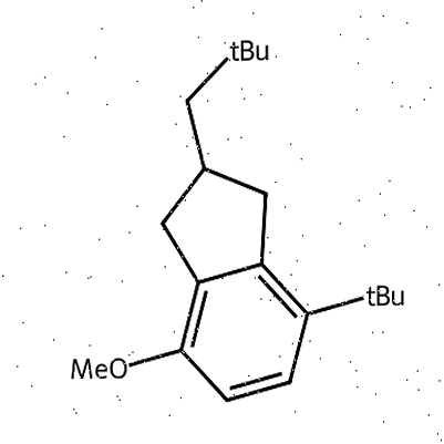 COc1ccc(C(C)(C)C)c2c1CC(CC(C)(C)C)C2